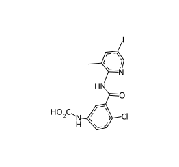 Cc1cc(I)cnc1NC(=O)c1cc(NC(=O)O)ccc1Cl